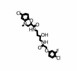 CN1CC(C(=O)NCC[C@H](O)CNC(=O)COc2ccc(Cl)c(F)c2)Oc2ccc(Cl)cc21